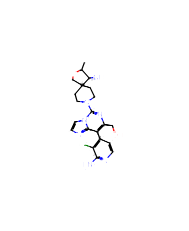 CC1OCC2(CCN(c3nc(CO)c(-c4ccnc(N)c4Cl)c4nccn34)CC2)C1N